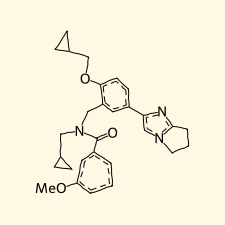 COc1cccc(C(=O)N(Cc2cc(-c3cn4c(n3)CCC4)ccc2OCC2CC2)CC2CC2)c1